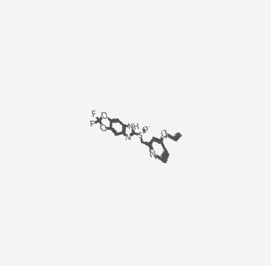 CCOc1ccnc(C[S+]([O-])c2nc3cc4c(cc3[nH]2)OC(F)(F)O4)c1